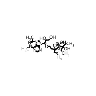 CCC(O)(CC)P(=O)(O)O[C@](C)(CC)CCO[C@H]([C@H](O)CO)n1c[n+]2c3c(ncnc31)N(C)N=C2C